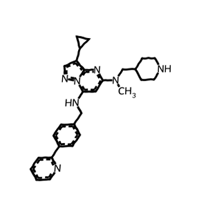 CN(CC1CCNCC1)c1cc(NCc2ccc(-c3ccccn3)cc2)n2ncc(C3CC3)c2n1